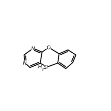 c1ccc2c(c1)Oc1ncncc1[SiH2]2